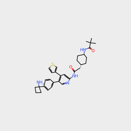 CC(C)(C)C(=O)N[C@H]1CC[C@H](CC(=O)Nc2cc(-c3ccsc3)c(-c3ccc(C4(N)CCC4)cc3)cn2)CC1